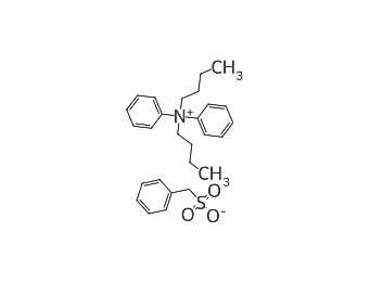 CCCC[N+](CCCC)(c1ccccc1)c1ccccc1.O=S(=O)([O-])Cc1ccccc1